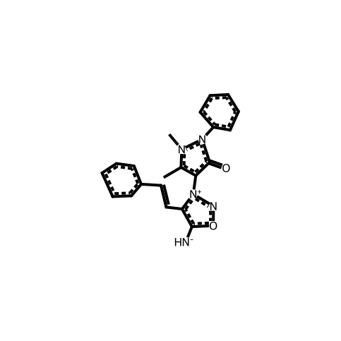 Cc1c(-[n+]2noc([NH-])c2C=Cc2ccccc2)c(=O)n(-c2ccccc2)n1C